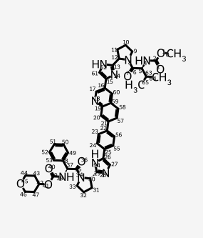 COC(=O)N[C@H](C(=O)N1CCCC1c1nc(-c2cnc3cc(-c4ccc(-c5cnc([C@@H]6CCCN6C(=O)[C@H](NC(=O)OC6CCOCC6)c6ccccc6)[nH]5)cc4)ccc3c2)c[nH]1)C(C)C